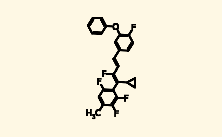 Cc1cc(F)c(C(=C(F)C=Cc2ccc(F)c(Oc3ccccc3)c2)C2CC2)c(F)c1F